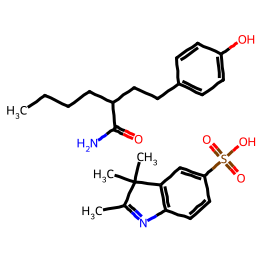 CC1=Nc2ccc(S(=O)(=O)O)cc2C1(C)C.CCCCC(CCc1ccc(O)cc1)C(N)=O